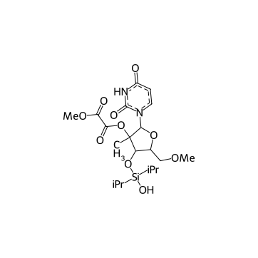 COCC1OC(n2ccc(=O)[nH]c2=O)C(C)(OC(=O)C(=O)OC)C1O[Si](O)(C(C)C)C(C)C